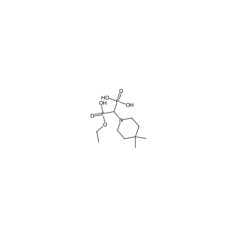 CCOP(=O)(O)C(N1CCC(C)(C)CC1)P(=O)(O)O